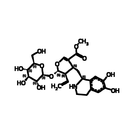 C=C[C@H]1[C@H](O[C@@H]2O[C@H](CO)[C@@H](O)[C@H](O)[C@H]2O)OC=C(C(=O)OC)[C@H]1C[C@@H]1NCCc2cc(O)c(O)cc21